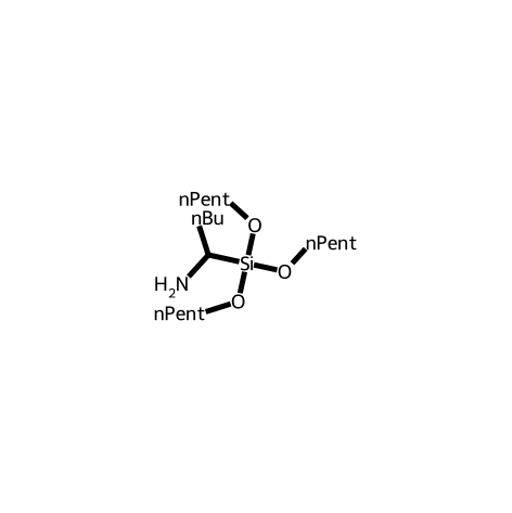 CCCCCO[Si](OCCCCC)(OCCCCC)C(N)CCCC